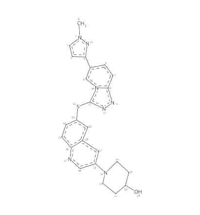 Cn1ccc(-c2ccc3nnc(Sc4ccc5ncc(N6CCC(O)CC6)cc5c4)n3c2)n1